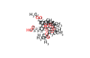 CCOC(=O)Cc1cccc(-c2cc(CCCC(=O)O)ccc2O[C@@H]2O[C@H](COC(=O)C(C)(C)C)[C@@H](OC(=O)C(C)(C)C)[C@H](OC(=O)C(C)(C)C)[C@@H]2OC(=O)C(C)(C)C)c1